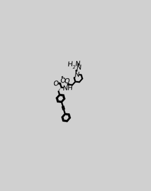 COC(=O)[C@@H](Cc1ccc(C#Cc2ccccc2)cc1)NC(=O)CC1CCCN(C=NN)C1